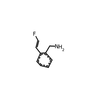 NCc1ccccc1/C=C/F